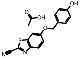 CC(=O)O.N#Cc1nc2ccc(OCc3ccc(O)cc3)cc2s1